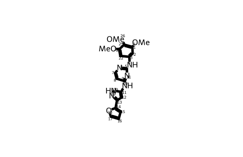 COc1cc(Nc2nccc(Nc3cc(-c4ccco4)n[nH]3)n2)cc(OC)c1OC